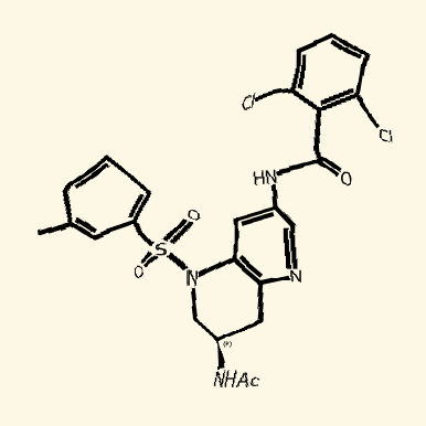 CC(=O)N[C@@H]1Cc2ncc(NC(=O)c3c(Cl)cccc3Cl)cc2N(S(=O)(=O)c2cccc(C)c2)C1